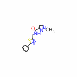 Cn1ccc(C(=O)NCc2nnc(-c3ccccc3)s2)n1